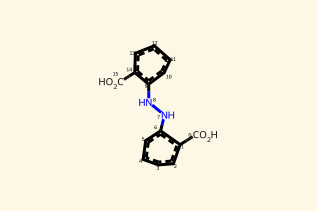 O=C(O)c1ccccc1NNc1ccccc1C(=O)O